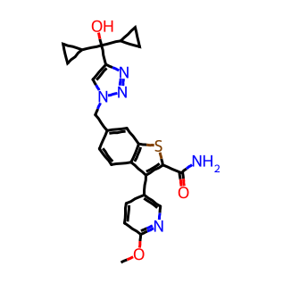 COc1ccc(-c2c(C(N)=O)sc3cc(Cn4cc(C(O)(C5CC5)C5CC5)nn4)ccc23)cn1